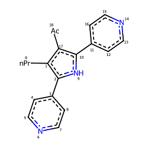 CCCc1c(-c2ccncc2)[nH]c(-c2ccncc2)c1C(C)=O